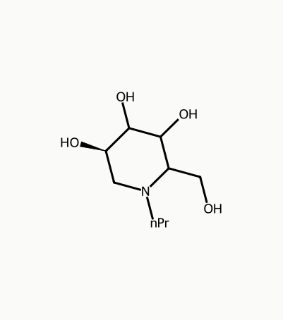 CCCN1C[C@@H](O)C(O)C(O)C1CO